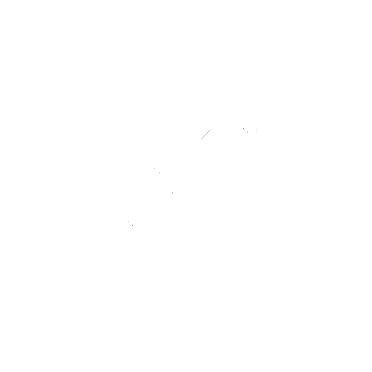 NC(=O)C12CC3CNC(C1)C3C=N2